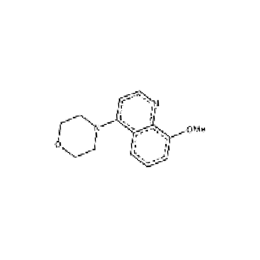 COc1cccc2c(N3CCOCC3)ccnc12